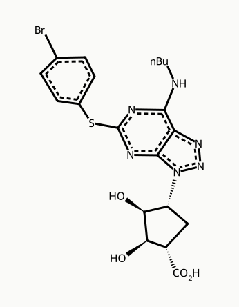 CCCCNc1nc(Sc2ccc(Br)cc2)nc2c1nnn2[C@@H]1C[C@H](C(=O)O)[C@@H](O)[C@H]1O